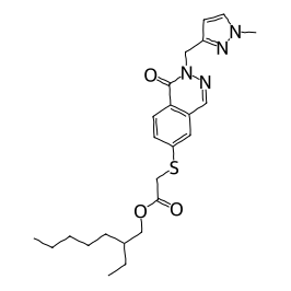 CCCCCC(CC)COC(=O)CSc1ccc2c(=O)n(Cc3ccn(C)n3)ncc2c1